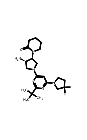 CC(C)(C)c1nc(N2C[C@@H](N)[C@@H](N3CCCCC3=O)C2)cc(N2CCC(F)(F)C2)n1